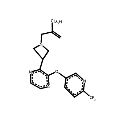 C=C(CN1CC(c2nccnc2Oc2ccc(C(F)(F)F)nc2)C1)C(=O)O